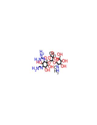 CN[C@@H]1[C@H](O[C@H]2[C@H](O[C@@]3(C=O)[C@H](O)[C@@H](O)[C@H](N=CN)[C@@H](O)[C@@H]3N=C(N)N)O[C@@H](C)[C@]2(O)C=O)O[C@@H](CO)[C@H](O)[C@H]1O